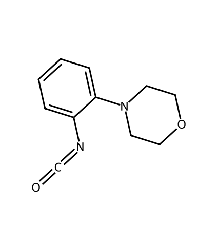 O=C=Nc1ccccc1N1CCOCC1